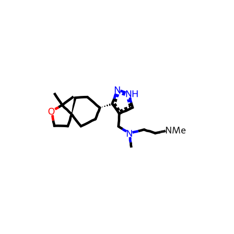 CNCCN(C)Cc1c[nH]nc1[C@H]1CC[C@]2(CCOC2(C)C)CC1